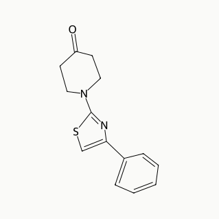 O=C1CCN(c2nc(-c3ccccc3)cs2)CC1